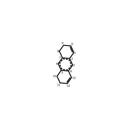 C1=Cc2cc3c(cc2CC1)CCC=C3